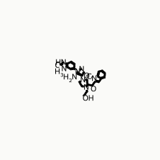 Cc1nc2cc(-n3ncc(N4CCN(CCO)C(C(=O)C5=Cc6ccccc6[N+]5=C=O)C4)c3N)ccc2[nH]1